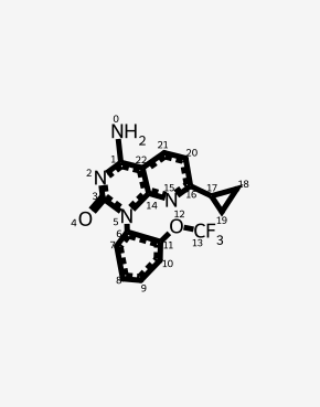 Nc1nc(=O)n(-c2ccccc2OC(F)(F)F)c2nc(C3CC3)ccc12